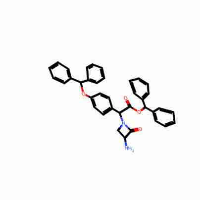 NC1CN(C(C(=O)OC(c2ccccc2)c2ccccc2)c2ccc(OC(c3ccccc3)c3ccccc3)cc2)C1=O